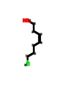 OCC/C=C\CCCCl